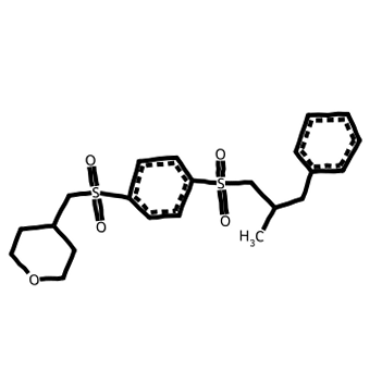 CC(Cc1ccccc1)CS(=O)(=O)c1ccc(S(=O)(=O)CC2CCOCC2)cc1